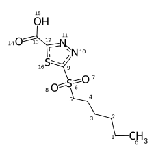 CCCCCCS(=O)(=O)c1nnc(C(=O)O)s1